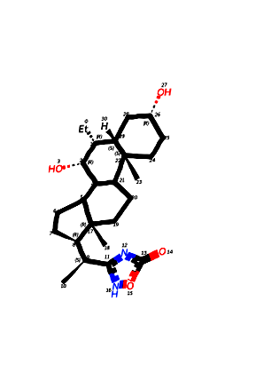 CC[C@H]1[C@@H](O)C2C3CC[C@H]([C@H](C)c4nc(=O)o[nH]4)[C@@]3(C)CCC2[C@@]2(C)CC[C@@H](O)C[C@@H]12